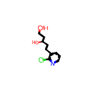 OCCC(O)CCc1cccnc1Cl